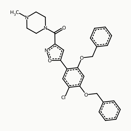 CN1CCN(C(=O)c2cc(-c3cc(Cl)c(OCc4ccccc4)cc3OCc3ccccc3)on2)CC1